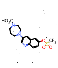 O=C(O)N1CCCN(c2cnc3ccc(OS(=O)(=O)C(F)(F)F)cc3c2)CC1